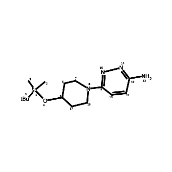 CC(C)(C)[Si](C)(C)OC1CCN(c2ccc(N)nn2)CC1